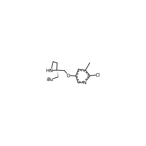 CCC(C)C[C@@]1(COc2cnc(Cl)c(C)c2)CCN1